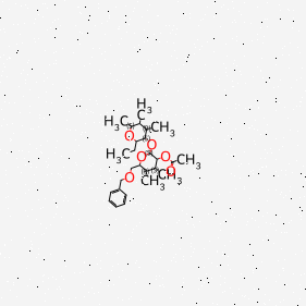 CCC1O[C@@H](C)C(C)[C@@H](C)[C@@H]1O[C@@H]1OC(COCc2ccccc2)[C@H](C)[C@H](C)C1OC(C)=O